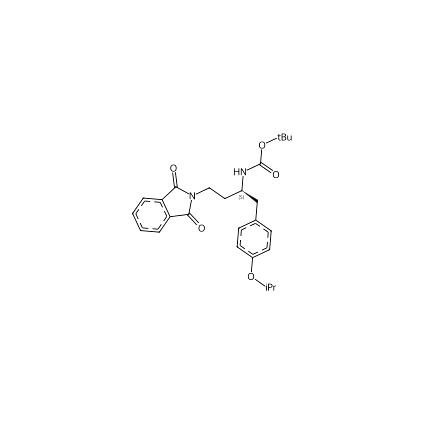 CC(C)Oc1ccc(C[C@@H](CCN2C(=O)c3ccccc3C2=O)NC(=O)OC(C)(C)C)cc1